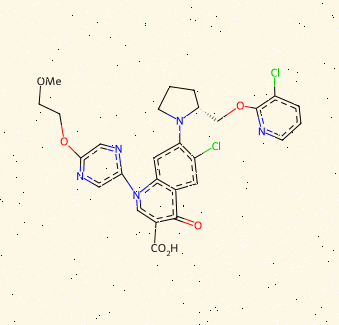 COCCOc1cnc(-n2cc(C(=O)O)c(=O)c3cc(Cl)c(N4CCC[C@@H]4COc4ncccc4Cl)cc32)cn1